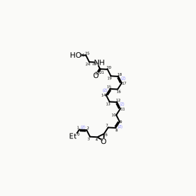 CC/C=C\CC1OC1C/C=C\C/C=C\C/C=C\C/C=C\CCC(=O)NCCO